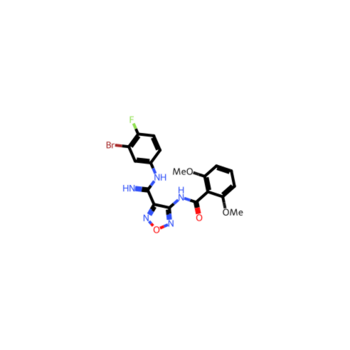 COc1cccc(OC)c1C(=O)Nc1nonc1C(=N)Nc1ccc(F)c(Br)c1